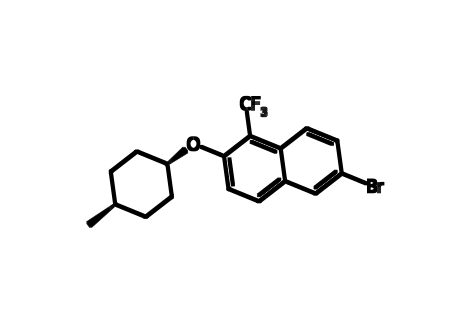 C[C@H]1CC[C@@H](Oc2ccc3cc(Br)ccc3c2C(F)(F)F)CC1